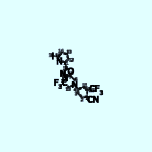 N#Cc1ccc(N(Cc2nnc(-c3cccc(I)n3)o2)CC(F)(F)F)cc1C(F)(F)F